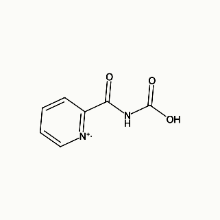 O=C(O)NC(=O)C1=[N+]C=CC=C1